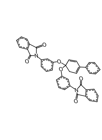 O=C1c2ccccc2C(=O)N1c1cccc(OC2(Oc3cccc(N4C(=O)c5ccccc5C4=O)c3)C=CC(c3ccccc3)=CC2)c1